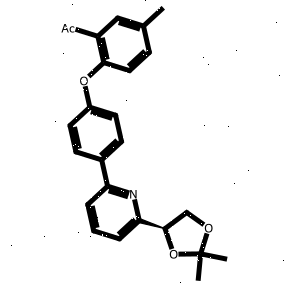 CC(=O)c1cc(C)ccc1Oc1ccc(-c2cccc([C@H]3COC(C)(C)O3)n2)cc1